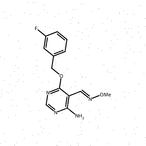 CON=Cc1c(N)ncnc1OCc1cccc(F)c1